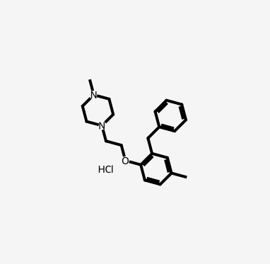 Cc1ccc(OCCN2CCN(C)CC2)c(Cc2ccccc2)c1.Cl